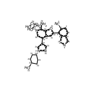 N#Cc1ccc2cnsc2c1-c1cc2c(-c3cnn([C@H]4CC[C@H](O)CC4)c3)cnc(N)c2o1.O=CO.O=CO